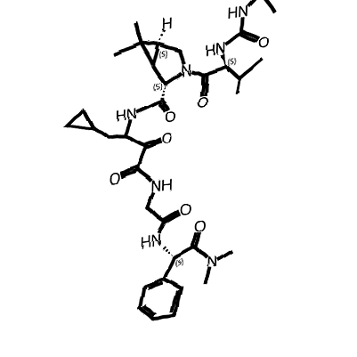 CC(C)[C@H](NC(=O)NC(C)(C)C)C(=O)N1C[C@H]2C([C@H]1C(=O)NC(CC1CC1)C(=O)C(=O)NCC(=O)N[C@H](C(=O)N(C)C)c1ccccc1)C2(C)C